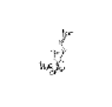 [C-]#[N+]C=Cc1ccc(NC(=O)OC(C)(C)C)cc1